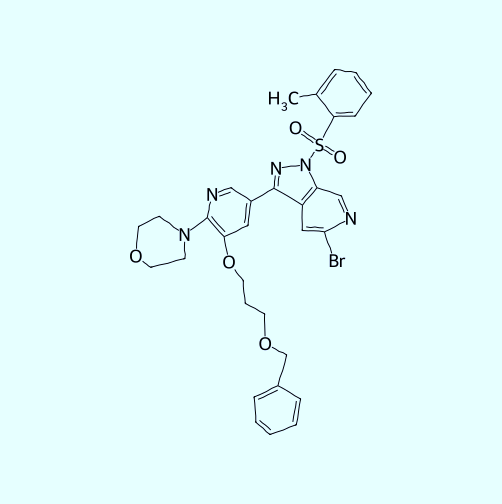 Cc1ccccc1S(=O)(=O)n1nc(-c2cnc(N3CCOCC3)c(OCCCOCc3ccccc3)c2)c2cc(Br)ncc21